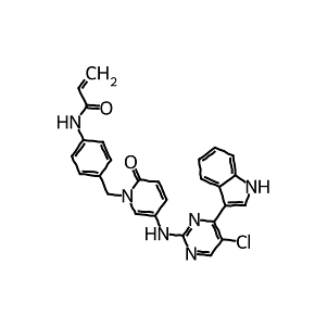 C=CC(=O)Nc1ccc(Cn2cc(Nc3ncc(Cl)c(-c4c[nH]c5ccccc45)n3)ccc2=O)cc1